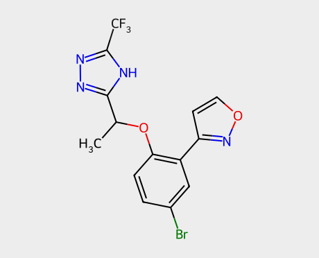 CC(Oc1ccc(Br)cc1-c1ccon1)c1nnc(C(F)(F)F)[nH]1